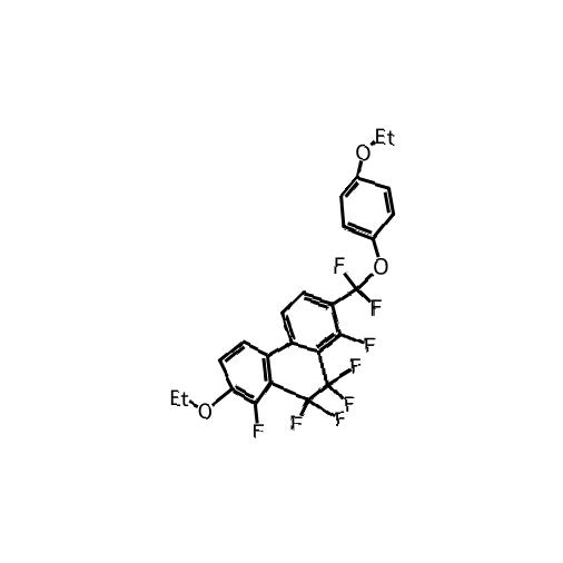 CCOc1ccc(OC(F)(F)c2ccc3c(c2F)C(F)(F)C(F)(F)c2c-3ccc(OCC)c2F)cc1